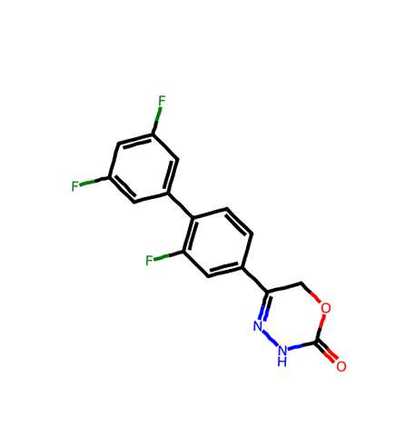 O=C1NN=C(c2ccc(-c3cc(F)cc(F)c3)c(F)c2)CO1